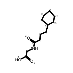 O=C(O)CNC(=O)CCCC1CCCCC1